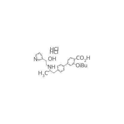 CC(C)COc1cc(-c2ccc(C[C@@H](C)NC[C@@H](O)c3cccnc3)cc2)ccc1C(=O)O.Cl.Cl